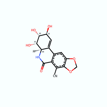 N#Cc1c2c(cc3c1C(=O)N[C@@H]1C3=C[C@H](O)[C@@H](O)[C@H]1O)OCO2